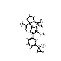 Cc1nc(C2(C(N)=O)CCCN2C(N)=O)sc1-c1ccnc(C2(C(F)(F)F)CC2)c1